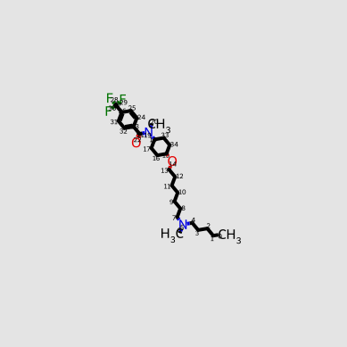 CCCCCN(C)CCCCCCCOC1CCC(N(C)C(=O)c2ccc(C(F)(F)F)cc2)CC1